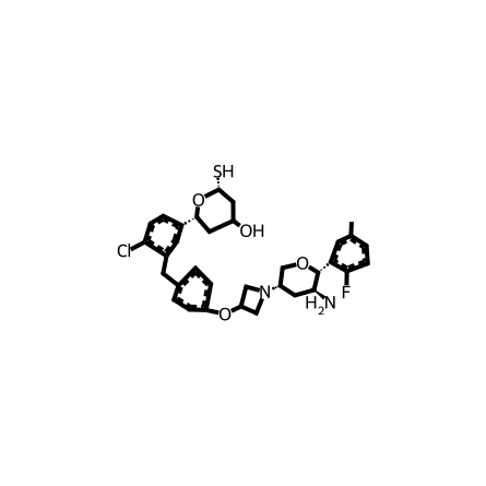 Cc1ccc(F)c([C@H]2OC[C@@H](N3CC(Oc4ccc(Cc5cc([C@H]6CC(O)C[C@@H](S)O6)ccc5Cl)cc4)C3)C[C@@H]2N)c1